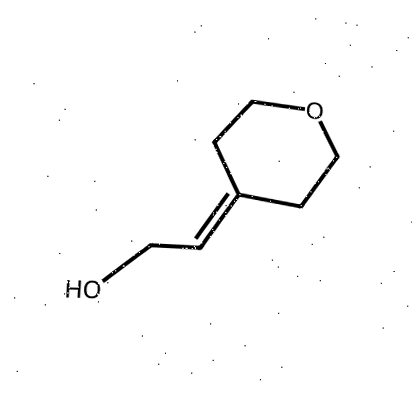 OCC=C1CCOCC1